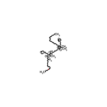 CCCCC/C=C\C/C=C\CCCCCCCC(=O)N(CCCN1CCOCC1)C(C(=O)NCCCCCCNC(=O)C(C(C)C)N(CCCN1CCOCC1)C(=O)CCCCCCC/C=C\C/C=C\CCCCC)C(C)C